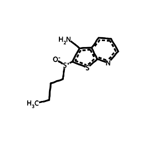 CCCC[S+]([O-])c1sc2ncccc2c1N